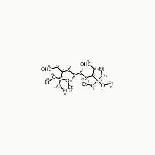 CCO[Si](OCC)(OCC)C(CC=O)SSSSC(CC=O)[Si](OCC)(OCC)OCC